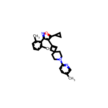 Cc1ccc(N2CCC3(C=C(c4c(-c5c(C)cccc5C)noc4C4CC4)C3)CC2)nc1